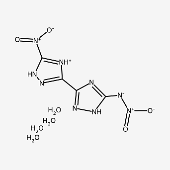 O.O.O.O.O=[N+]([O-])[N-]c1nc(-c2n[nH]c([N+](=O)[O-])[nH+]2)n[nH]1